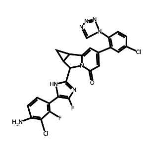 Nc1ccc(-c2[nH]c(C3C4CC4c4cc(-c5cc(Cl)ccc5-n5cnnn5)cc(=O)n43)nc2F)c(F)c1Cl